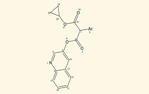 CC(=O)C(C(=O)Oc1cnc2ccccc2c1)C(=O)OC1CC1